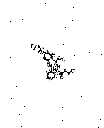 CC(NC(=O)c1ccncc1NC(=O)CCCl)c1ccc(OCC(F)(F)F)nc1